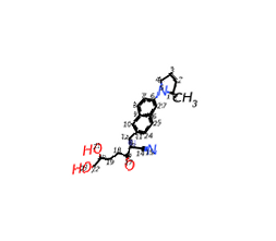 CC1CCCN1c1ccc2cc(/C=C(\C#N)C(=O)CCC(O)CO)ccc2c1